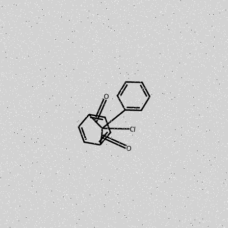 O=C1c2ccc(cc2)C(=O)C1(Cl)c1ccccc1